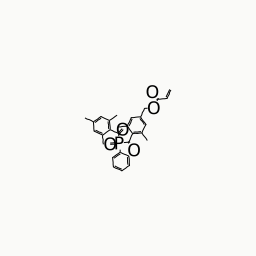 C=CC(=O)OCc1cc(C)c(C(=O)P(=O)(C(=O)c2c(C)cc(C)cc2C)c2ccccc2)c(C)c1